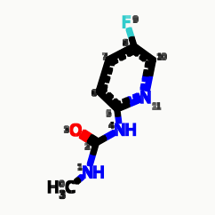 CNC(=O)Nc1ccc(F)cn1